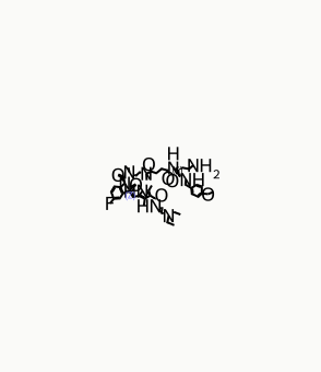 CCN(CC)CCNC(=O)c1c(C)[nH]c(/C=C2\C(=O)N(C(=O)N(C)CCN(C)C(=O)CCC(=O)N[C@@H](CCN)C(=O)NCc3ccc(OC)cc3)c3ccc(F)cc32)c1C